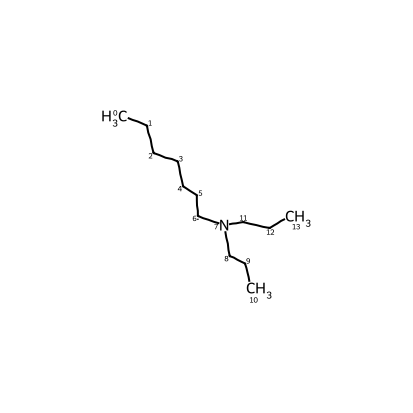 CCCCCC[CH]N(CCC)CCC